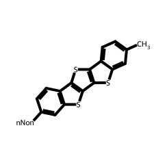 CCCCCCCCCc1ccc2c(c1)sc1c2sc2c3ccc(C)cc3sc21